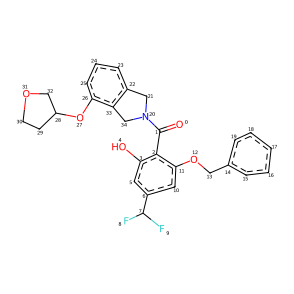 O=C(c1c(O)cc(C(F)F)cc1OCc1ccccc1)N1Cc2cccc(OC3CCOC3)c2C1